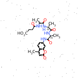 Cc1cc(=O)oc2cc(NC(=O)[C@H](C)NC(=O)[C@H](C)NC(=O)[C@H](C)NC(=O)CCC(=O)O)ccc12